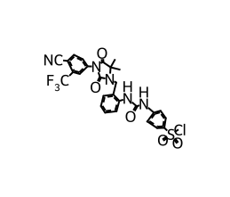 CC1(C)C(=O)N(c2ccc(C#N)c(C(F)(F)F)c2)C(=O)N1Cc1ccccc1NC(=O)Nc1ccc(S(=O)(=O)Cl)cc1